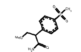 COCC(C(N)=O)c1ccc(S(C)(=O)=O)cc1